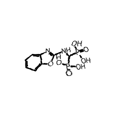 O=P(O)(O)C(Nc1nc2ccccc2o1)P(=O)(O)O